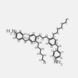 CCCCCCCc1cc(Cc2ccc(N)cc2)ccc1CCCc1ccc(Cc2ccc(N)cc2)cc1CCCCCCC